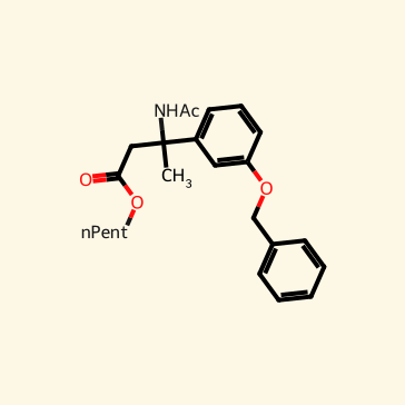 CCCCCOC(=O)CC(C)(NC(C)=O)c1cccc(OCc2ccccc2)c1